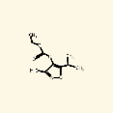 CCOC(=O)Oc1c(C)noc1C(C)C